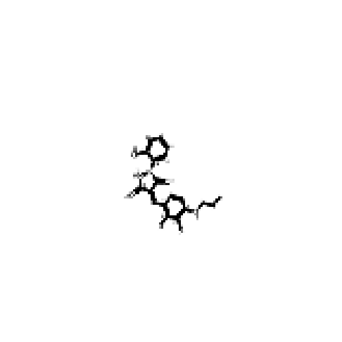 CCCOc1ccc(/C=C2/C(=O)NN(c3ccccc3Cl)C2=O)c(C)c1C